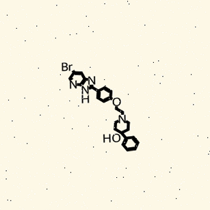 OC1(c2ccccc2)CCN(CCOc2ccc(-c3nc4cc(Br)cnc4[nH]3)cc2)CC1